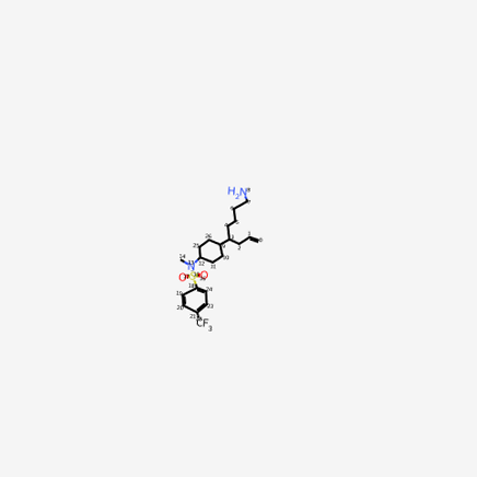 C=CCC(CCCCN)C1CCC(N(C)S(=O)(=O)c2ccc(C(F)(F)F)cc2)CC1